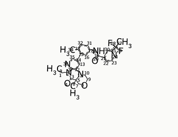 CCN1C(=O)C2(C)COCCN2c2cc(-c3cc(NC(=O)c4ccnc(C(C)(F)F)c4)ccc3C)cnc21